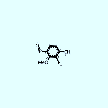 COc1c(P=O)ccc(C)c1F